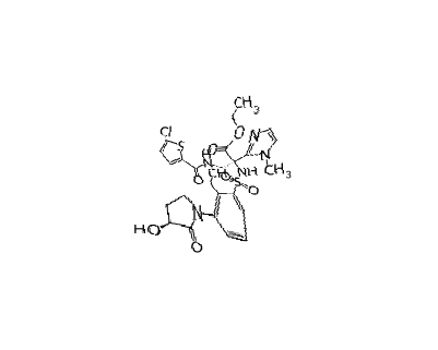 CCOC(=O)[C@](CNC(=O)c1ccc(Cl)s1)(NS(=O)(=O)c1cccc(N2CC[C@H](O)C2=O)c1CC)c1nccn1C